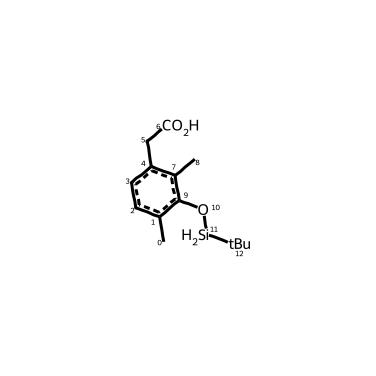 Cc1ccc(CC(=O)O)c(C)c1O[SiH2]C(C)(C)C